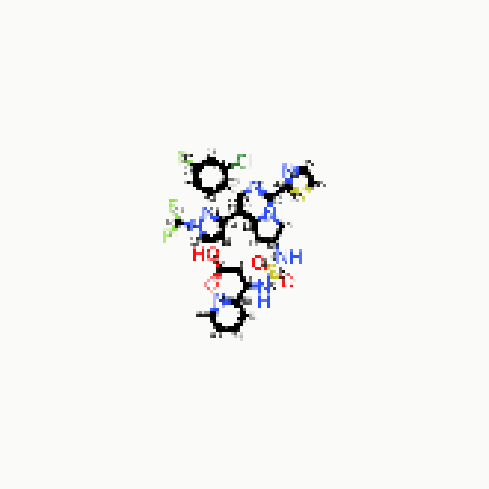 O=C(O)CC(NS(=O)(=O)N[C@H]1CC2=C(c3ccn(C(F)F)n3)[C@H](c3ccc(F)cc3Cl)N=C(c3nccs3)N2C1)c1ccccn1